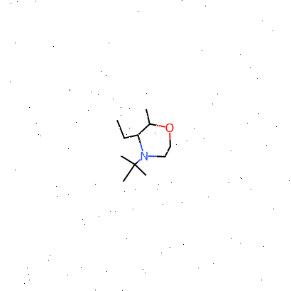 CCC1C(C)OCCN1C(C)(C)C